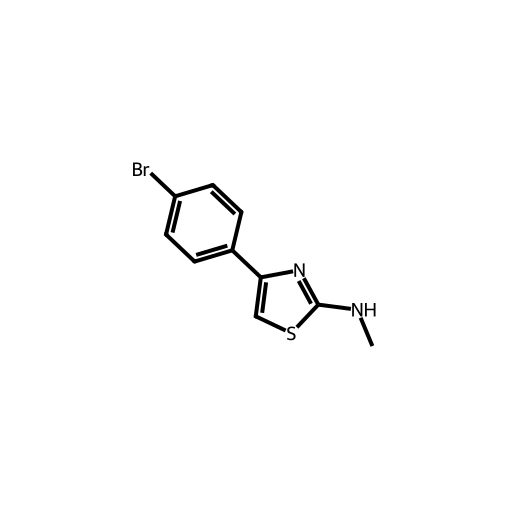 CNc1nc(-c2ccc(Br)cc2)cs1